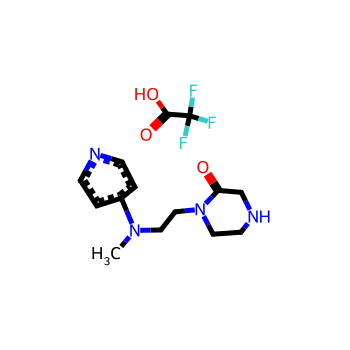 CN(CCN1CCNCC1=O)c1ccncc1.O=C(O)C(F)(F)F